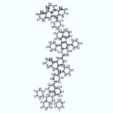 c1ccc(-c2c3c(c(-c4ccccc4)c4ccccc24)-c2ccc(-c4ccc(N(c5ccccc5)c5cc6cccnc6c6cc(-c7ccc8c(-c9ccccc9)c9c(c(-c%10ccccc%10)c8c7)-c7ccc(-c8ccc(N(c%10cccnc%10)c%10cc%11cccnc%11c%11ncccc%10%11)cc8)c8cccc-9c78)ccc56)cc4)c4cccc-3c24)cc1